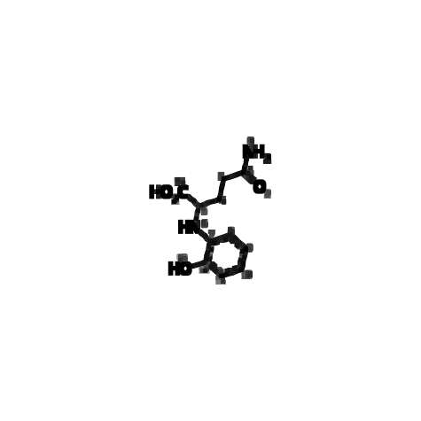 NC(=O)CCC(Nc1ccccc1O)C(=O)O